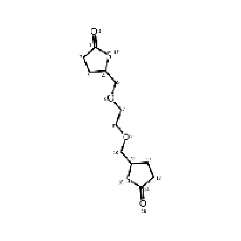 O=C1CCC(COCCOCC2CCC(=O)S2)S1